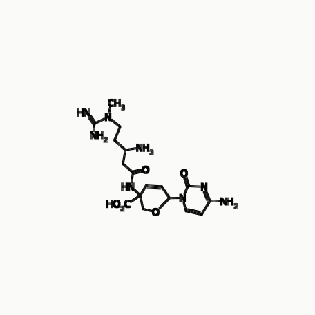 CN(CCC(N)CC(=O)NC1(C(=O)O)C=CC(n2ccc(N)nc2=O)OC1)C(=N)N